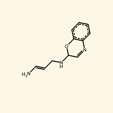 NC=CCNC1C=Nc2ccccc2O1